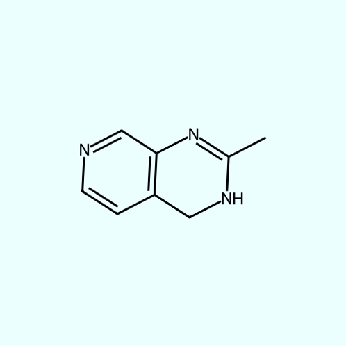 CC1=Nc2cnccc2CN1